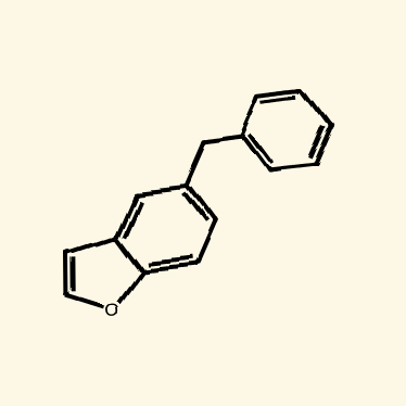 c1ccc(Cc2ccc3occc3c2)cc1